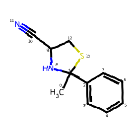 CC1(c2ccccc2)NC(C#N)CS1